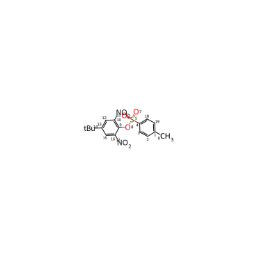 Cc1ccc(S(=O)(=O)Oc2c([N+](=O)[O-])cc(C(C)(C)C)cc2[N+](=O)[O-])cc1